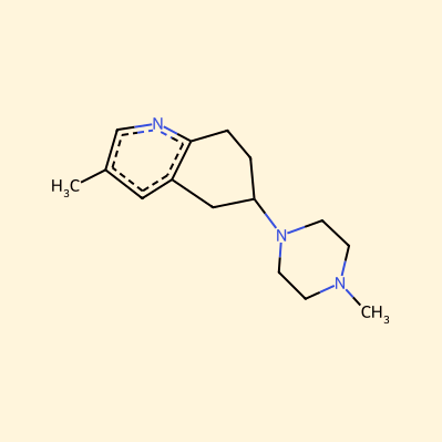 Cc1cnc2c(c1)CC(N1CCN(C)CC1)CC2